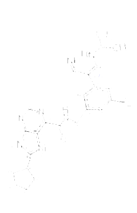 CC(C)N/C=C(\C=N)c1cc(F)cc(CNC(=O)c2ncnc3nc(C4CCCC4)[nH]c23)c1